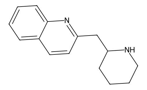 c1ccc2nc(CC3CCCCN3)ccc2c1